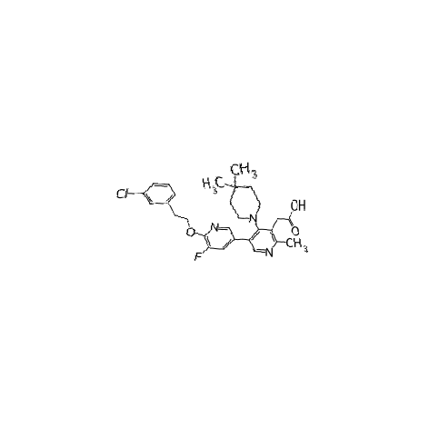 Cc1ncc(-c2cnc(OCCc3cccc(Cl)c3)c(F)c2)c(N2CCC(C)(C)CC2)c1CC(=O)O